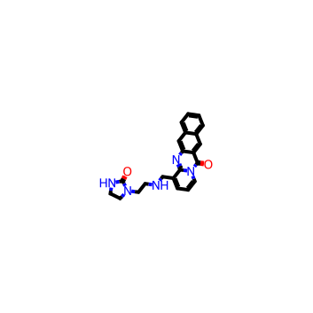 O=C1NCCN1CCNCc1cccn2c(=O)c3cc4ccccc4cc3nc12